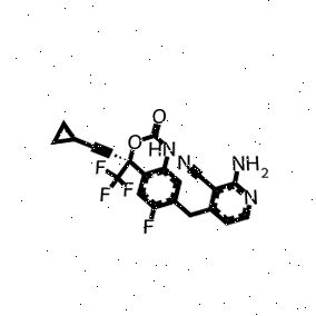 N#Cc1c(Cc2cc3c(cc2F)[C@@](C#CC2CC2)(C(F)(F)F)OC(=O)N3)ccnc1N